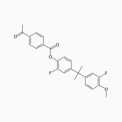 COc1ccc(C(C)(C)c2ccc(OC(=O)c3ccc(C(C)=O)cc3)c(F)c2)cc1F